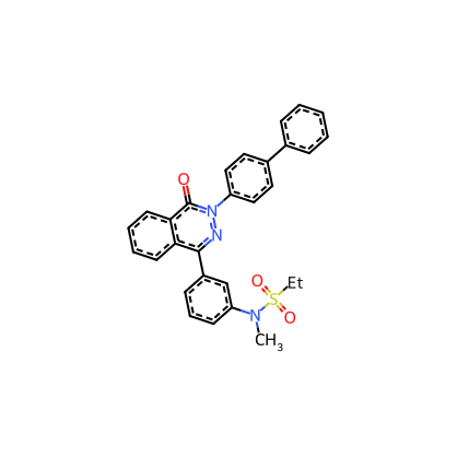 CCS(=O)(=O)N(C)c1cccc(-c2nn(-c3ccc(-c4ccccc4)cc3)c(=O)c3ccccc23)c1